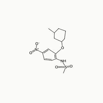 CC1CCCC(Oc2cc([N+](=O)[O-])ccc2NS(C)(=O)=O)C1